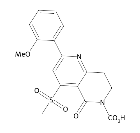 COc1ccccc1-c1cc(S(C)(=O)=O)c2c(n1)CCN(C(=O)O)C2=O